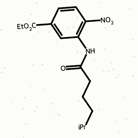 CCOC(=O)c1ccc([N+](=O)[O-])c(NC(=O)CCCC(C)C)c1